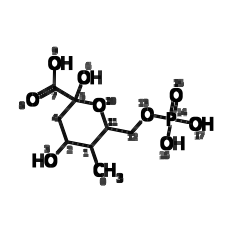 CC1C(O)CC(O)(C(=O)O)OC1COP(=O)(O)O